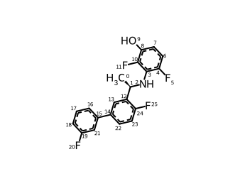 C[C@@H](Nc1c(F)ccc(O)c1F)c1cc(-c2cccc(F)c2)ccc1F